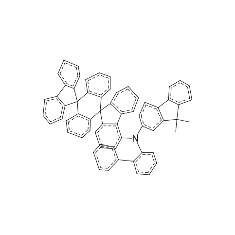 CC1(C)c2ccccc2-c2ccc(N(c3ccccc3-c3ccccc3)c3cccc4c3-c3ccccc3C43c4ccccc4C4(c5ccccc5-c5ccccc54)c4ccccc43)cc21